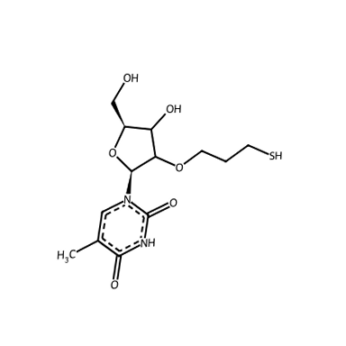 Cc1cn([C@H]2O[C@@H](CO)C(O)C2OCCCS)c(=O)[nH]c1=O